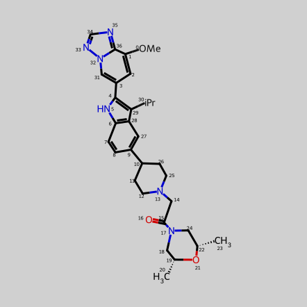 COc1cc(-c2[nH]c3ccc(C4CCN(CC(=O)N5C[C@@H](C)O[C@@H](C)C5)CC4)cc3c2C(C)C)cn2ncnc12